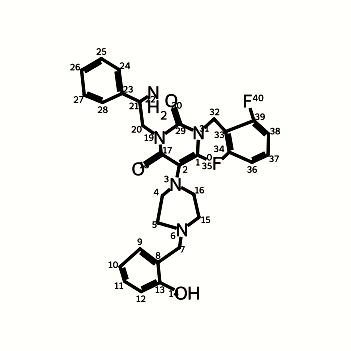 Cc1c(N2CCN(Cc3ccccc3O)CC2)c(=O)n(CC(N)c2ccccc2)c(=O)n1Cc1c(F)cccc1F